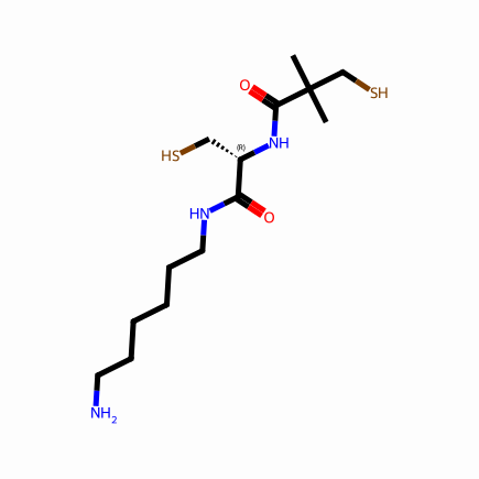 CC(C)(CS)C(=O)N[C@@H](CS)C(=O)NCCCCCCN